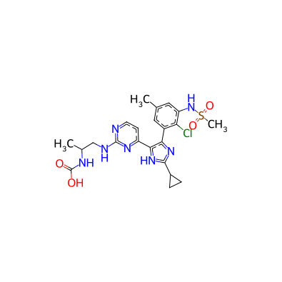 Cc1cc(NS(C)(=O)=O)c(Cl)c(-c2nc(C3CC3)[nH]c2-c2ccnc(NCC(C)NC(=O)O)n2)c1